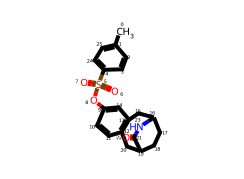 Cc1ccc(S(=O)(=O)Oc2ccc3c(c2)CC2CCC(C3)C(=O)N2)cc1